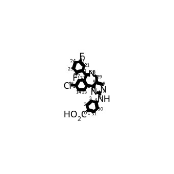 O=C(O)c1ccc(Nc2ncc3c(n2)-c2ccc(Cl)cc2C(c2cc(F)ccc2F)=NC3)cc1